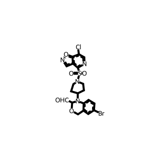 O=CC1OCc2cc(Br)ccc2N1C1CCN(S(=O)(=O)c2ncc(Cl)c3oncc23)CC1